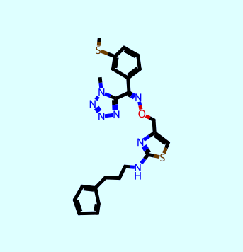 CSc1cccc(C(=NOCc2csc(NCCCc3ccccc3)n2)c2nnnn2C)c1